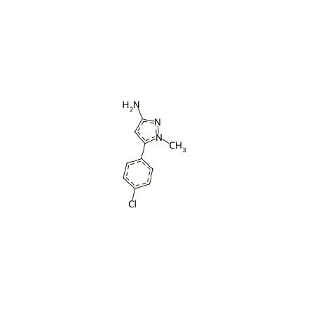 Cn1nc(N)cc1-c1ccc(Cl)cc1